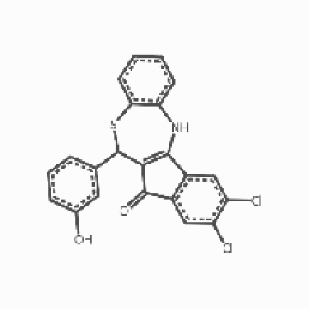 O=C1C2=C(Nc3ccccc3SC2c2cccc(O)c2)c2cc(Cl)c(Cl)cc21